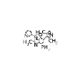 Cc1noc(C)c1-c1cc(P)c2nc(C)n3c2c1OCC3c1cccnc1